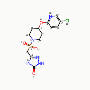 O=c1[nH]nc(CS(=O)(=O)N2CCC(Oc3ccc(Cl)cn3)CC2)[nH]1